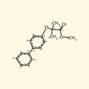 COC(=O)C(C)(C)Oc1ccc(-c2ccccc2)cc1